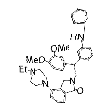 CCN1CCN(c2cccc3c2CN(CC(c2cccc(NCc4ccccc4)c2)c2ccc(OC)c(OC)c2)C3=O)CC1